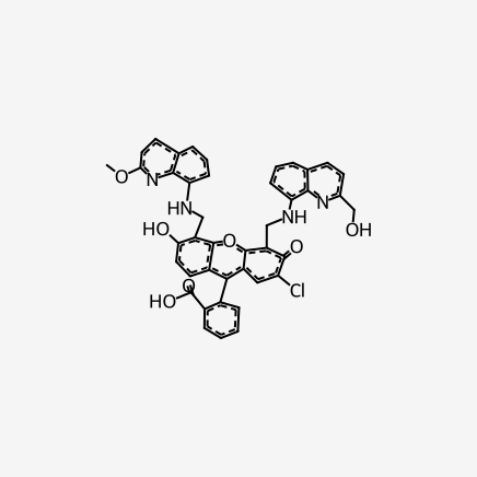 COc1ccc2cccc(NCc3c(O)ccc4c(-c5ccccc5C(=O)O)c5cc(Cl)c(=O)c(CNc6cccc7ccc(CO)nc67)c-5oc34)c2n1